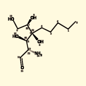 CCCCC[C@@](O)([C@H](O)CO)[C@H](O)[C@H](N)C=O